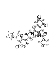 CC(CN1CCCC1)Oc1cc(Cl)ccc1C1CCN(C(=O)[C@@H](Cc2ccc(Cl)cc2Cl)NC(=O)N2CCCC2)CC1